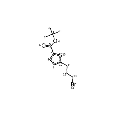 CC(C)(C)OC(=O)c1ccc(CCCBr)s1